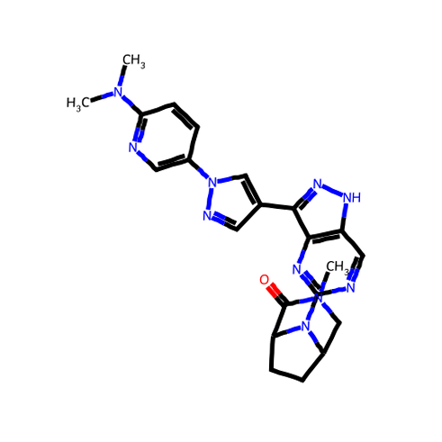 CN1CC2CCC(C1=O)N2c1ncc2[nH]nc(-c3cnn(-c4ccc(N(C)C)nc4)c3)c2n1